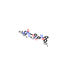 Cc1ccc(-c2ccccc2C(=O)Nc2ccc(C(=O)N(C)c3ccccc3OCCCNC(=O)N3CCC(N(C)C)CC3)cc2)cc1